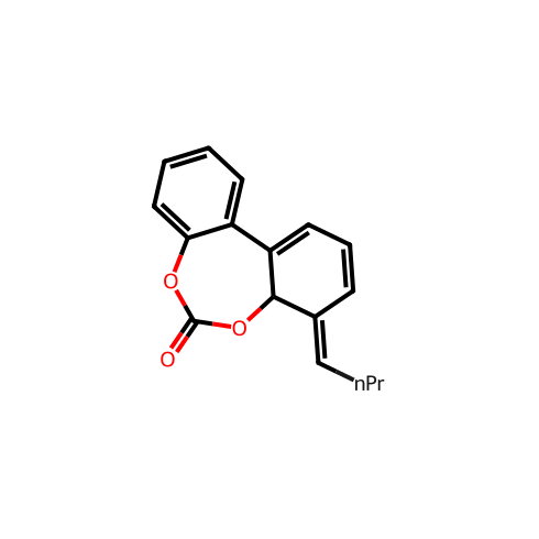 CCCC=C1C=CC=C2c3ccccc3OC(=O)OC12